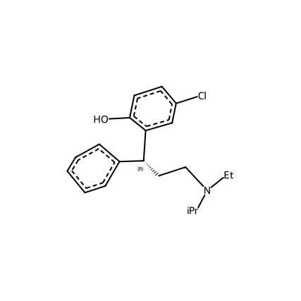 CCN(CC[C@H](c1ccccc1)c1cc(Cl)ccc1O)C(C)C